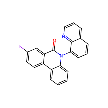 O=c1c2cc(I)ccc2c2ccccc2n1-c1cccc2cccnc12